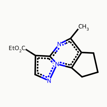 CCOC(=O)c1cnn2c3c(c(C)nc12)CCC3